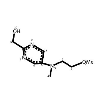 COCCN(C)c1cnc(CO)nc1